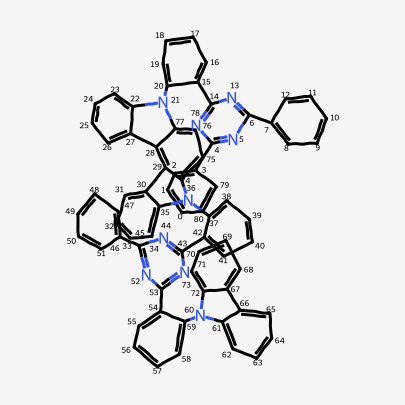 c1ccc(-c2nc(-c3ccccc3)nc(-c3ccccc3-n3c4ccccc4c4c5c6ccccc6n(-c6ccccc6-c6nc(-c7ccccc7)nc(-c7ccccc7-n7c8ccccc8c8ccccc87)n6)c5ccc43)n2)cc1